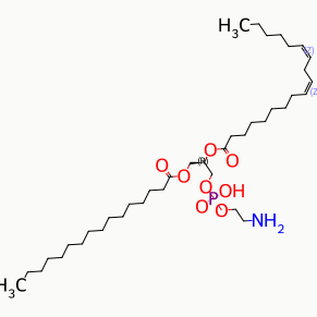 CCCCC/C=C\C/C=C\CCCCCCCC(=O)O[C@H](COC(=O)CCCCCCCCCCCCCCC)COP(=O)(O)OCCN